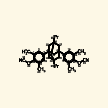 Cc1cc(C23CC4(c5cc(C)c(OC#N)c(C)c5)CC(C(C)C)(C2)CC(C(C)C)(C3)C4)cc(C)c1OC#N